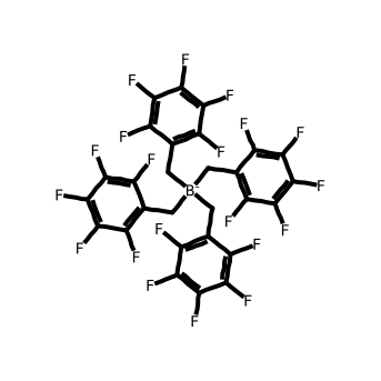 Fc1c(F)c(F)c(C[B-](Cc2c(F)c(F)c(F)c(F)c2F)(Cc2c(F)c(F)c(F)c(F)c2F)Cc2c(F)c(F)c(F)c(F)c2F)c(F)c1F